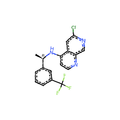 C[C@@H](Nc1ccnc2cnc(Cl)cc12)c1cccc(C(F)(F)F)c1